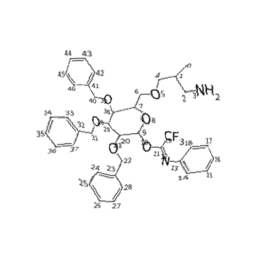 CC(CN)COCC1OC(O/C(=N/c2ccccc2)C(F)(F)F)C(OCc2ccccc2)C(OCc2ccccc2)C1OCc1ccccc1